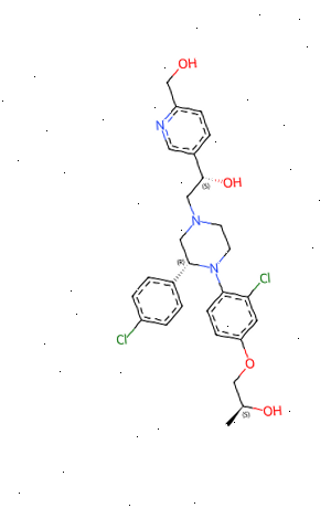 C[C@H](O)COc1ccc(N2CCN(C[C@@H](O)c3ccc(CO)nc3)C[C@H]2c2ccc(Cl)cc2)c(Cl)c1